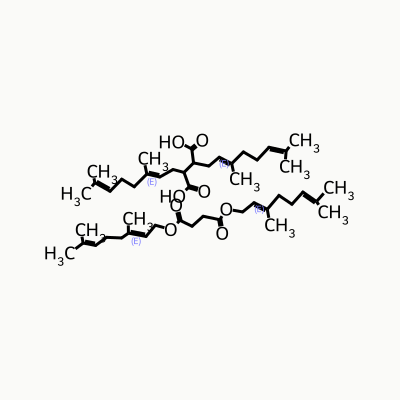 CC(C)=CCC/C(C)=C/CC(C(=O)O)C(C/C=C(\C)CCC=C(C)C)C(=O)O.CC(C)=CCC/C(C)=C/COC(=O)CCC(=O)OC/C=C(\C)CCC=C(C)C